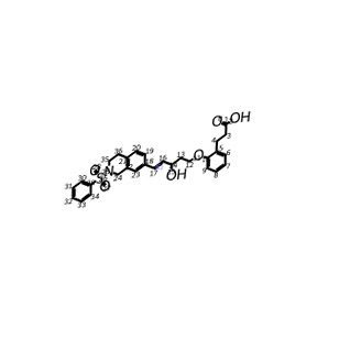 O=C(O)CCc1ccccc1OCCC(O)/C=C/c1ccc2c(c1)CN(S(=O)(=O)c1ccccc1)CC2